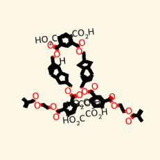 C=C(C)C(=O)OCCOC(=O)c1cc(C(=O)OCC2CC3C4CC(COC(=O)c5cc(C(=O)OCC6CC7C8CC(COC(=O)c9cc(C(=O)OCCOC(=O)C(=C)C)c(C(=O)O)cc9C(=O)O)C(C8)C7C6)c(C(=O)O)cc5C(=O)O)[C@@H](C4)C3C2)c(C(=O)O)cc1C(=O)O